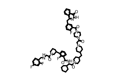 O=C(N[C@@H](C(=O)N1CCC(CC2CCN(CC(=O)N3CCN(C(=O)c4cc(Cc5n[nH]c(=O)c6ccccc56)ccc4F)CC3)CC2)CC1)C1CCCCC1)c1cccc(C2CCCN(C(=O)CNCc3ccc(F)cc3F)C2)c1F